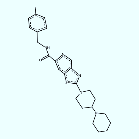 Cc1ccc(CNC(=O)c2cc3sc(N4CCC(N5CCCCC5)CC4)nc3cn2)cc1